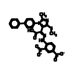 CSc1nc(C)n(-c2ccc(-c3ccccc3)cc2)c1C(=NNc1ccc([N+](=O)[O-])cc1[N+](=O)[O-])C(=O)O